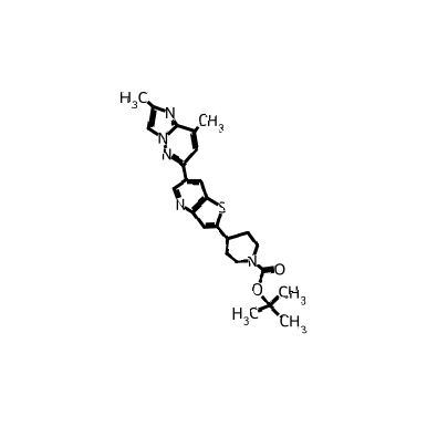 Cc1cn2nc(-c3cnc4cc(C5CCN(C(=O)OC(C)(C)C)CC5)sc4c3)cc(C)c2n1